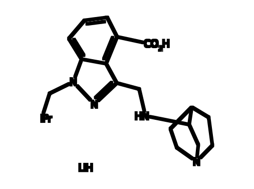 CC(C)Cn1nc(CNC2CN3CCC2CC3)c2c(C(=O)O)cccc21.[LiH]